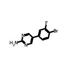 Nc1ncc(-c2ccc(Br)c(F)c2)cn1